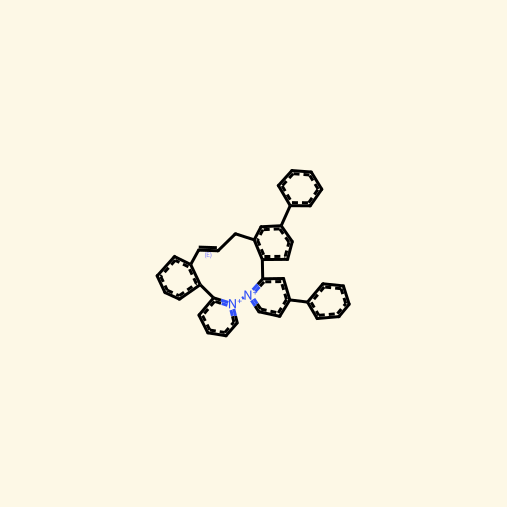 C1=C/c2ccccc2-c2cccc[n+]2-[n+]2ccc(-c3ccccc3)cc2-c2ccc(-c3ccccc3)cc2C/1